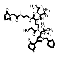 CC(C)(C)[C@H](c1cc(-c2cc(F)ccc2F)cn1Cc1ccccc1)N(CC[C@H](N[C@@H](CC(N)=O)C(N)=O)C(=O)NCCNC(=O)CN1C(=O)C=CC1=O)C(=O)CO